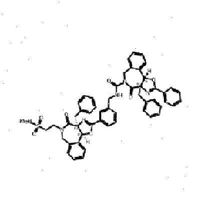 CNS(=O)(=O)CCN1Cc2ccccc2[C@@H]2OC(c3cccc(CNC(=O)N4Cc5ccccc5[C@@H]5OC(c6ccccc6)=N[C@]5(Cc5ccccc5)C4=O)c3)=N[C@]2(Cc2ccccc2)C1=O